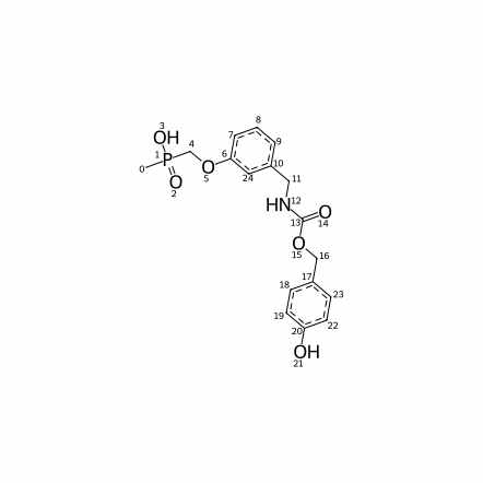 CP(=O)(O)COc1cccc(CNC(=O)OCc2ccc(O)cc2)c1